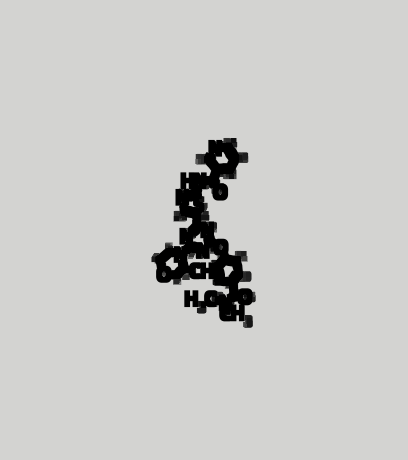 C[C@H]1COCCN1c1nc(Oc2ccc(C(=O)N(C)C)cc2)nc(-c2cnc(NC(=O)c3cccnc3)s2)n1